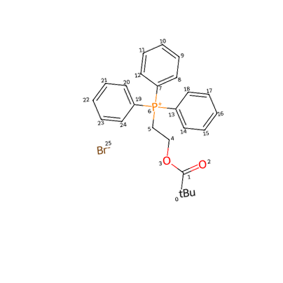 CC(C)(C)C(=O)OCC[P+](c1ccccc1)(c1ccccc1)c1ccccc1.[Br-]